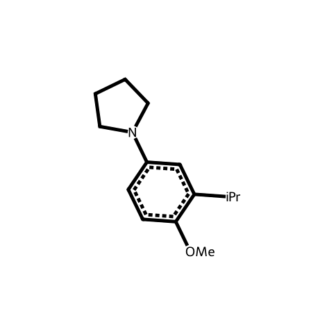 COc1ccc(N2CCCC2)cc1C(C)C